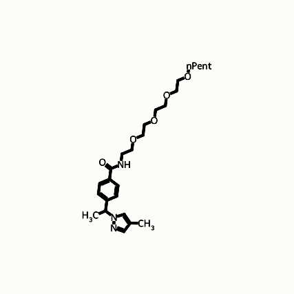 CCCCCOCCOCCOCCOCCNC(=O)c1ccc(C(C)n2cc(C)cn2)cc1